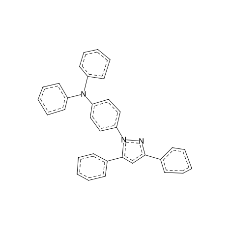 c1ccc(-c2cc(-c3ccccc3)n(-c3ccc(N(c4ccccc4)c4ccccc4)cc3)n2)cc1